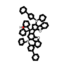 Sc1ccccc1C1(c2ccccc2)c2cc(N(c3ccccc3)c3ccc(-c4ccccc4)cc3)c3c(oc4ccccc43)c2-c2c1cc(N(c1ccccc1)c1ccc(-c3ccccc3)cc1)c1c2oc2ccccc21